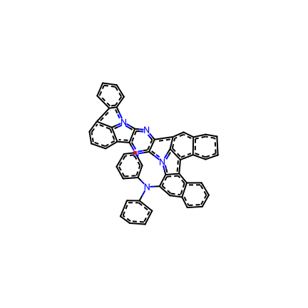 c1ccc(N(c2ccccc2)c2cc3ccccc3c3c4c5ccccc5cc5c6nc7c(nc6n(c23)c54)c2cccc3c4ccccc4n7c32)cc1